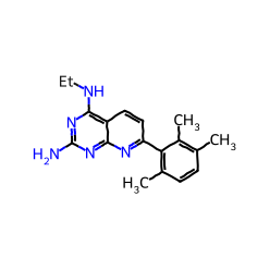 CCNc1nc(N)nc2nc(-c3c(C)ccc(C)c3C)ccc12